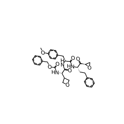 COc1ccc(C[C@H](NC(=O)[C@@H](NC(=O)OCc2ccccc2)C2COC2)C(=O)N[C@@H](CCc2ccccc2)C(=O)[C@H]2CO2)cc1